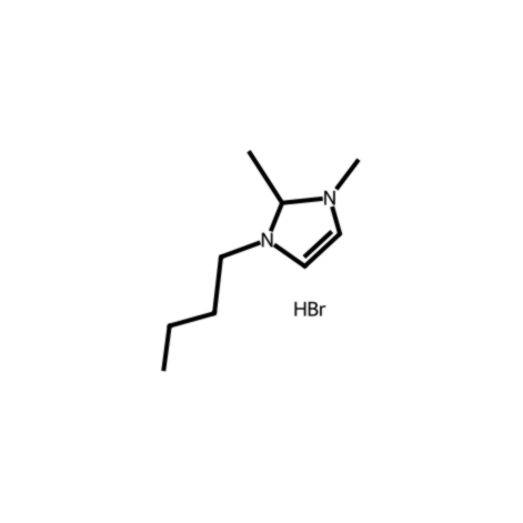 Br.CCCCN1C=CN(C)C1C